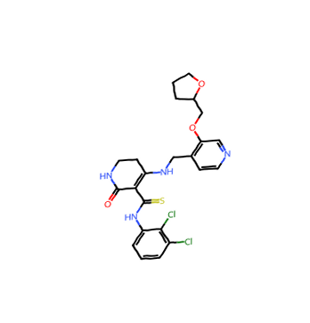 O=C1NCCC(NCc2ccncc2OCC2CCCO2)=C1C(=S)Nc1cccc(Cl)c1Cl